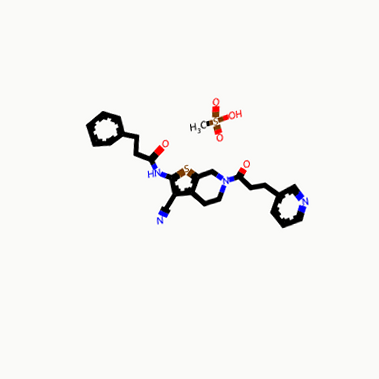 CS(=O)(=O)O.N#Cc1c(NC(=O)CCc2ccccc2)sc2c1CCN(C(=O)CCc1cccnc1)C2